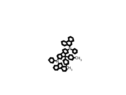 Cc1ccc(C2(c3ccc(C)cc3)c3cc(N(c4ccccc4)c4cc5ccccc5c5ccccc45)ccc3-c3ccc(N(c4ccccc4)c4cc5ccccc5c5ccccc45)cc32)cc1